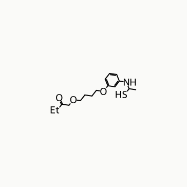 CCC(=O)COCCCCOc1cccc(NC(C)S)c1